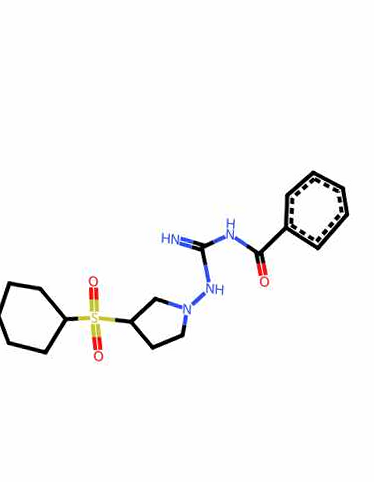 N=C(NC(=O)c1ccccc1)NN1CCC(S(=O)(=O)C2CCCCC2)C1